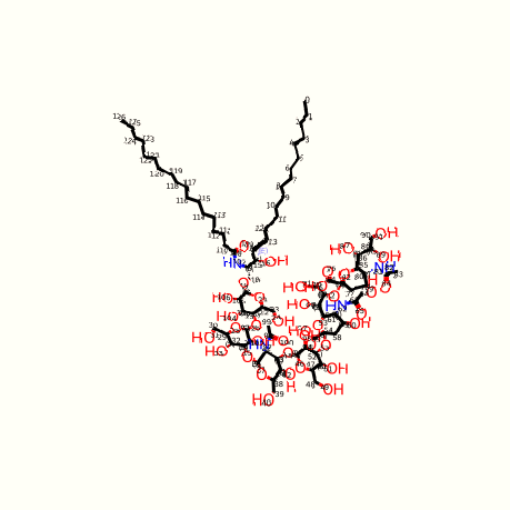 CCCCCCCCCCCCC/C=C/[C@@H](O)[C@H](CO[C@@H]1OC(CO)[C@@H](O[C@@H]2OC(CO)[C@H](O)[C@H](O[C@@H]3OC(CO)[C@@H](O)[C@H](O[C@@H]4OC(CO)[C@H](O)[C@H](O[C@]5(C(=O)O)CC(O)[C@@H](NC(C)=O)C([C@H](O)[C@@H](CO)O[C@]6(C(=O)O)CC(O)[C@@H](NC(C)=O)C([C@H](O)[C@H](O)CO)O6)O5)C4O)C3NC(C)=O)C2O)[C@H](O)C1O)NC(=O)CCCCCCCCCCCCCCCCC